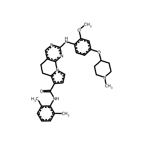 COc1cc(OC2CCN(C)CC2)ccc1Nc1ncc2c(n1)-n1ccc(C(=O)Nc3c(C)cccc3C)c1CC2